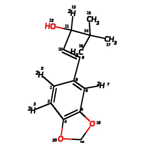 [2H]c1c([2H])c2c(c([2H])c1/C=C/C([2H])(O)C(C)(C)C)OCO2